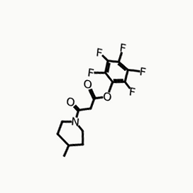 CC1CCN(C(=O)CC(=O)Oc2c(F)c(F)c(F)c(F)c2F)CC1